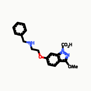 COc1nn(C(=O)O)c2cc(OCCNCc3ccccc3)ccc12